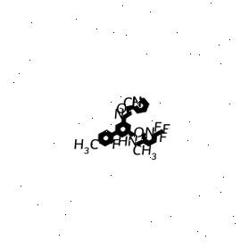 Cc1ccc(-c2cc(C(=O)N[C@H](C)c3ccc(C(F)(F)F)nc3)cc(C3=NOC(C)(c4ccccn4)C3)c2)c(F)c1